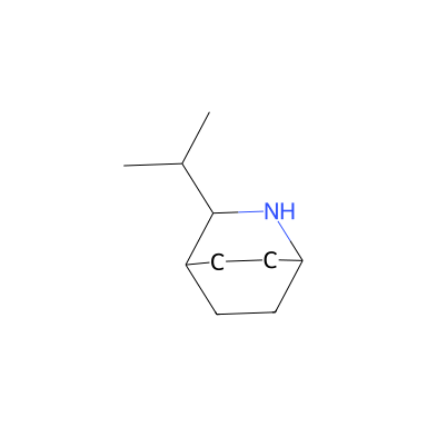 CC(C)C1NC2CCC1CC2